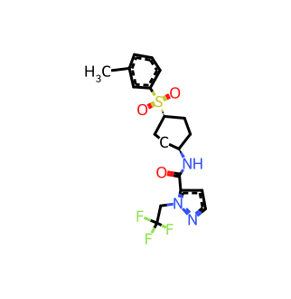 Cc1cccc(S(=O)(=O)[C@H]2CC[C@H](NC(=O)c3ccnn3CC(F)(F)F)CC2)c1